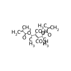 C=C(C)C(=O)OC(C)C(C(=O)O)=C(C(=O)O)C(C)OC(=O)C(=C)C